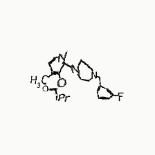 Cc1ccnc(N2CCN(Cc3cccc(F)c3)CC2)c1OC(=O)C(C)C